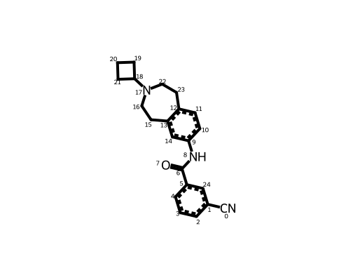 N#Cc1cccc(C(=O)Nc2ccc3c(c2)CCN(C2CCC2)CC3)c1